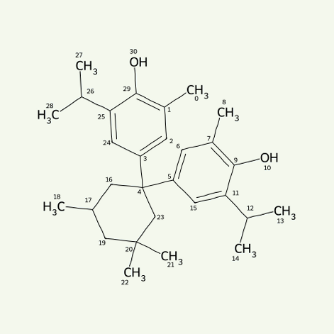 Cc1cc(C2(c3cc(C)c(O)c(C(C)C)c3)CC(C)CC(C)(C)C2)cc(C(C)C)c1O